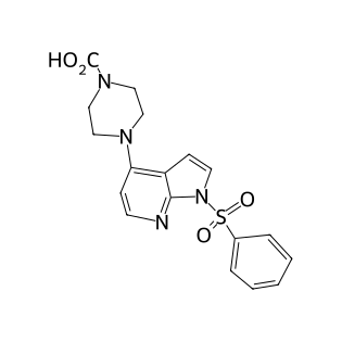 O=C(O)N1CCN(c2ccnc3c2ccn3S(=O)(=O)c2ccccc2)CC1